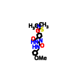 COc1cccc(CNC(=O)c2nc3ccc(OC(=S)N(C)C)cc3c(=O)[nH]2)c1